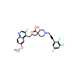 COc1ccc2ncc(F)c(CCCC3(C(=O)O)CCN(CC#Cc4cc(F)cc(F)c4F)CC3)c2c1